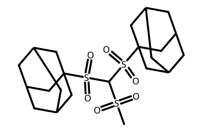 CS(=O)(=O)C(S(=O)(=O)C12CC3CC(CC(C3)C1)C2)S(=O)(=O)C12CC3CC(CC(C3)C1)C2